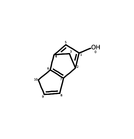 OC1=C2CC(=C1)C1=C2C=CC1